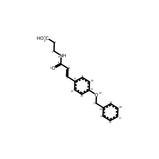 O=C(O)CCNC(=O)C=Cc1ccc(OCc2ccccc2)cc1